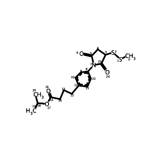 CSSC1CC(=O)N(c2ccc(CCCC(=O)OC(C)C)cc2)C1=O